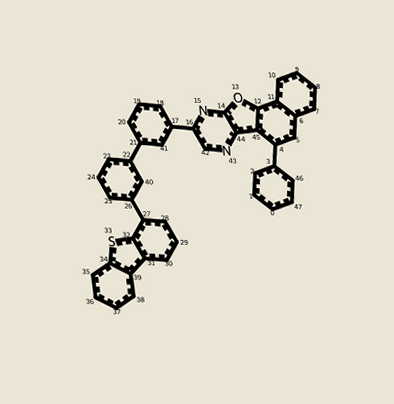 c1ccc(-c2cc3ccccc3c3oc4nc(-c5cccc(-c6cccc(-c7cccc8c7sc7ccccc78)c6)c5)cnc4c23)cc1